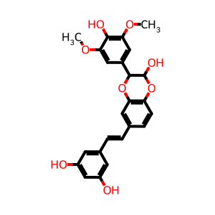 COc1cc(C2Oc3cc(C=Cc4cc(O)cc(O)c4)ccc3OC2O)cc(OC)c1O